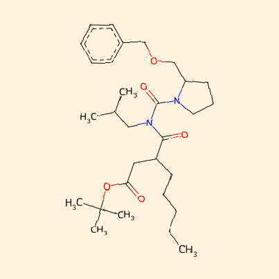 CCCCCC(CC(=O)OC(C)(C)C)C(=O)N(CC(C)C)C(=O)N1CCCC1COCc1ccccc1